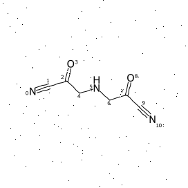 N#CC(=O)CNCC(=O)C#N